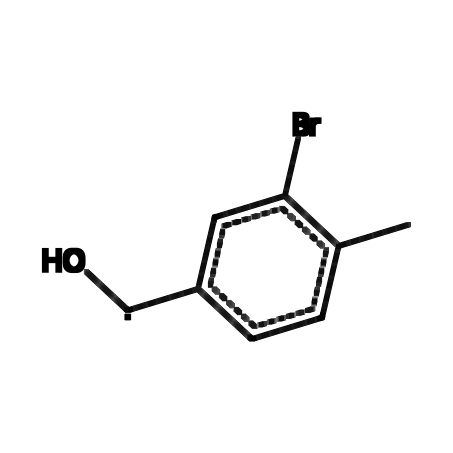 Cc1ccc([CH]O)cc1Br